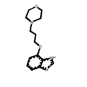 c1cc(OCCCN2CCOCC2)c2[nH]cnc2c1